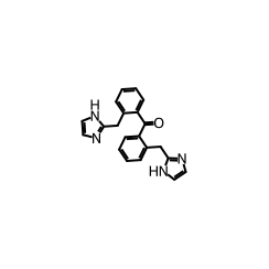 O=C(c1ccccc1Cc1ncc[nH]1)c1ccccc1Cc1ncc[nH]1